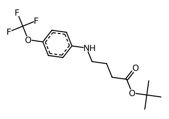 CC(C)(C)OC(=O)CCCNc1ccc(OC(F)(F)F)cc1